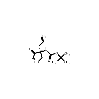 C=CC[C@@](CO)(NC(=O)OC(C)(C)C)C(=O)O